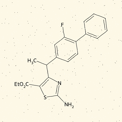 CCOC(=O)c1sc(N)nc1C(C)c1ccc(-c2ccccc2)c(F)c1